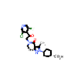 CC(C)(C)CN(CC(=O)c1c(Cl)cncc1Cl)C(=O)c1cnn([C@H]2CC[C@H](C(=O)O)CC2)c1C(F)(F)F